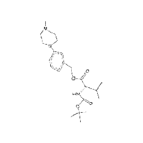 CC(C)[C@H](NC(=O)OC(C)(C)C)C(=O)OCc1cccc(N2CCN(C)CC2)c1